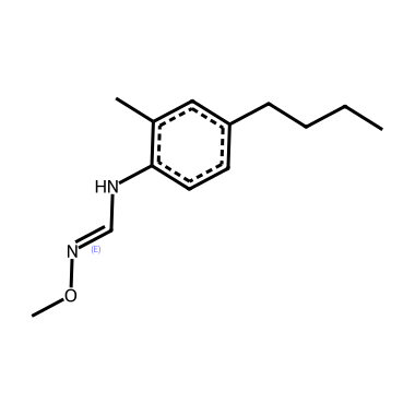 CCCCc1ccc(N/C=N/OC)c(C)c1